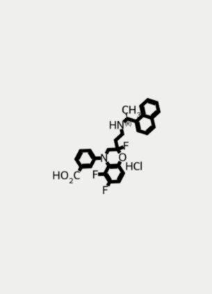 C[C@@H](NCCC1(F)CN(c2cccc(C(=O)O)c2)c2c(ccc(F)c2F)O1)c1cccc2ccccc12.Cl